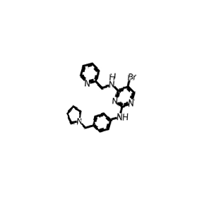 Brc1cnc(Nc2ccc(CN3CCCC3)cc2)nc1NCc1ccccn1